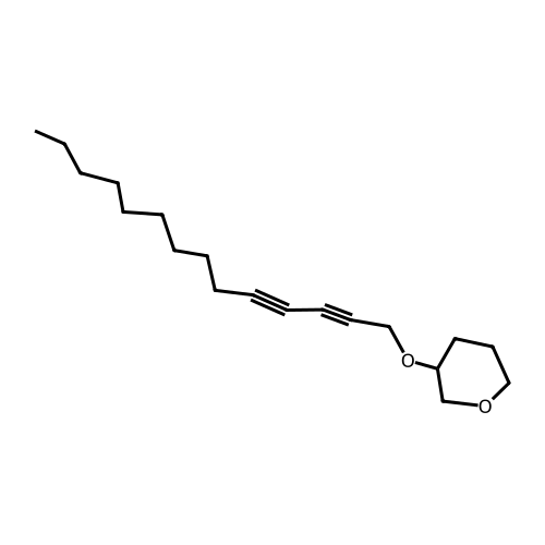 CCCCCCCCCC#CC#CCOC1CCCOC1